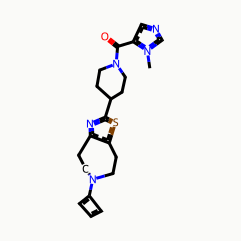 Cn1cncc1C(=O)N1CCC(c2nc3c(s2)CCN(C2=CC=C2)CC3)CC1